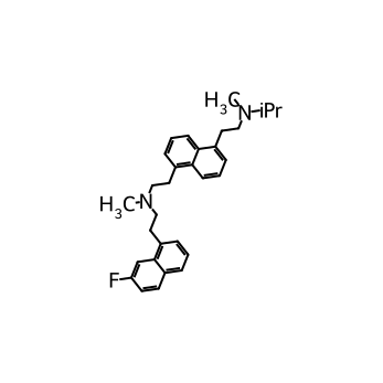 CC(C)N(C)CCc1cccc2c(CCN(C)CCc3cccc4ccc(F)cc34)cccc12